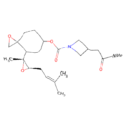 CNC(=O)CC1CN(C(=O)OC2CCC3(CO3)C([C@@]3(C)O[C@@H]3CC=C(C)C)C2)C1